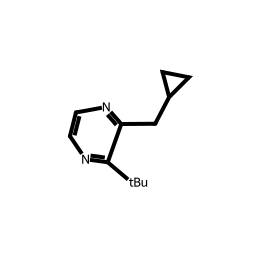 CC(C)(C)c1nccnc1CC1CC1